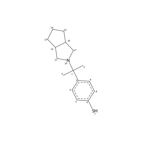 CC(C)(c1ccc(S)cc1)N1CC2CCCC2C1